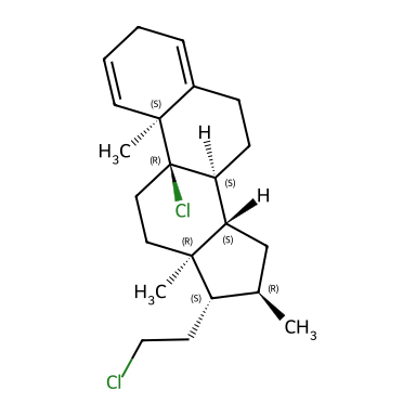 C[C@@H]1C[C@H]2[C@@H]3CCC4=CCC=C[C@]4(C)[C@@]3(Cl)CC[C@]2(C)[C@H]1CCCl